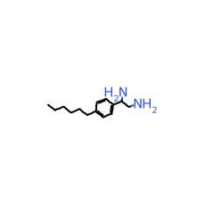 CCCCCCc1ccc(C(N)CN)cc1